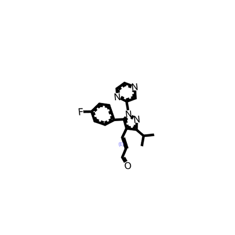 CC(C)c1nn(-c2cnccn2)c(-c2ccc(F)cc2)c1/C=C/C=O